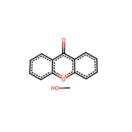 CO.O=c1c2ccccc2oc2ccccc12